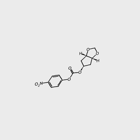 O=C(Oc1ccc([N+](=O)[O-])cc1)O[C@H]1C[C@@H]2OCO[C@@H]2C1